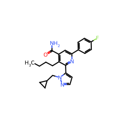 CCCCc1c(C(N)=O)cc(-c2ccc(F)cc2)nc1-c1ccnn1CC1CC1